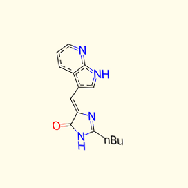 CCCCC1=NC(=Cc2c[nH]c3ncccc23)C(=O)N1